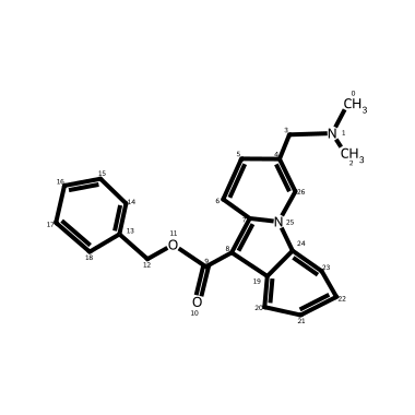 CN(C)Cc1ccc2c(C(=O)OCc3ccccc3)c3ccccc3n2c1